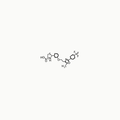 Cc1oc(-c2ccc(C(F)(F)F)cc2)nc1CCOc1cccc(C2N[C@H](C(=O)O)CS2)c1